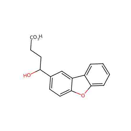 O=C(O)CCC(O)c1ccc2oc3ccccc3c2c1